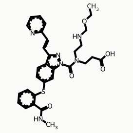 CCOCNCCN(CCC(=O)O)C(=O)n1nc(/C=C/c2ccccn2)c2ccc(Sc3ccccc3C(=O)NC)cc21